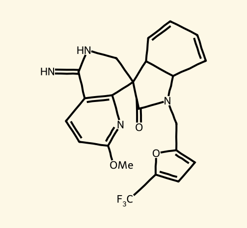 COc1ccc2c(n1)C1(CNC2=N)C(=O)N(Cc2ccc(C(F)(F)F)o2)C2C=CC=CC21